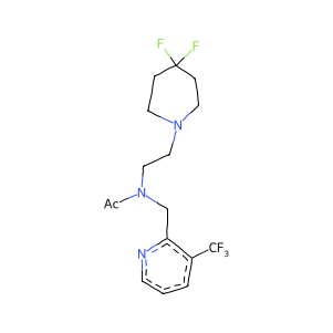 CC(=O)N(CCN1CCC(F)(F)CC1)Cc1ncccc1C(F)(F)F